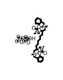 CN(C)C(=O)Oc1ccccc1C[N+](C)(C)CC(=O)CCCCCCC(=O)C[N+](C)(C)Cc1ccccc1OC(=O)N(C)C.O=S(=O)([O-])O.O=S(=O)([O-])O